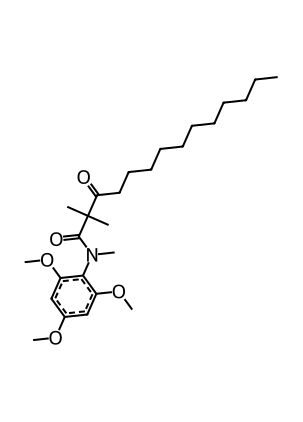 CCCCCCCCCCCC(=O)C(C)(C)C(=O)N(C)c1c(OC)cc(OC)cc1OC